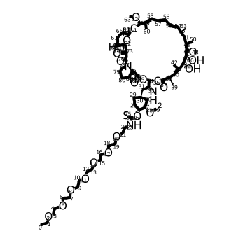 CCOCCOCCOCCOCCOCCOCCOCCNC(=S)O[C@@H]1CC[C@@H](C[C@@H](N)[C@@H]2CC(=O)[C@H](C)/C=C(\C)[C@@H](O)[C@@H](O)C(=O)C(C)C[C@H](C)/C=C/C=C/C=C(\C)C(OC)C[C@@H]3CC[C@@H](C)[C@@](O)(O3)C(=O)C(=O)N3CCCC[C@H]3C(=O)O2)C[C@H]1OC